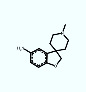 CN1CCC2(CC1)COc1ccc(N)cc12